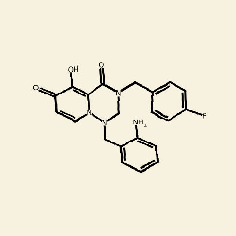 Nc1ccccc1CN1CN(Cc2ccc(F)cc2)C(=O)c2c(O)c(=O)ccn21